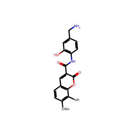 CCCc1c(OC)ccc2cc(C(=O)Nc3ccc(CN)cc3O)c(=O)oc12